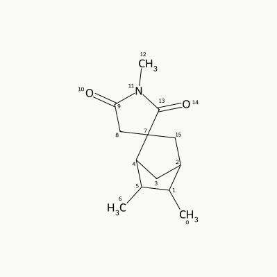 CC1C2CC(C1C)C1(CC(=O)N(C)C1=O)C2